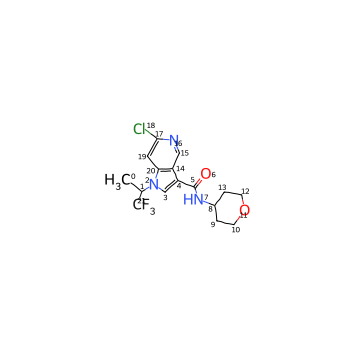 CC(n1cc(C(=O)NC2CCOCC2)c2cnc(Cl)cc21)C(F)(F)F